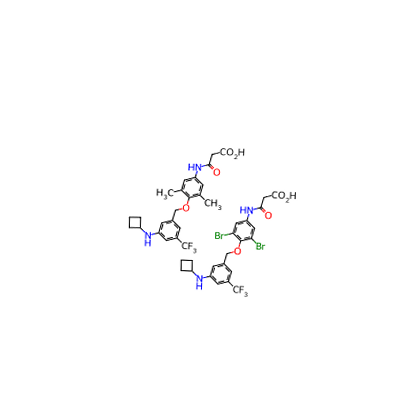 Cc1cc(NC(=O)CC(=O)O)cc(C)c1OCc1cc(NC2CCC2)cc(C(F)(F)F)c1.O=C(O)CC(=O)Nc1cc(Br)c(OCc2cc(NC3CCC3)cc(C(F)(F)F)c2)c(Br)c1